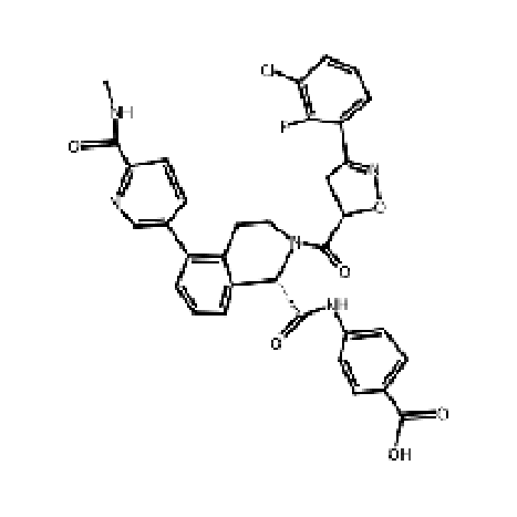 CNC(=O)c1ccc(-c2cccc3c2CCN(C(=O)[C@H]2CC(c4cccc(Cl)c4F)=NO2)[C@@H]3C(=O)Nc2ccc(C(=O)O)cc2)cn1